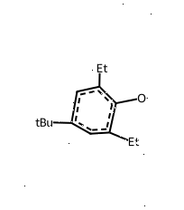 CCc1cc(C(C)(C)C)cc(CC)c1[O]